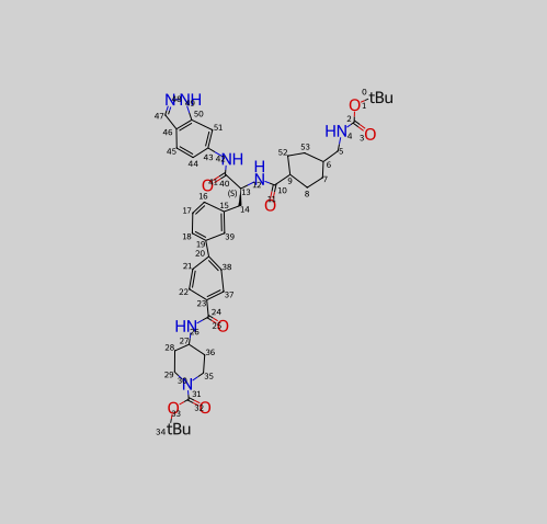 CC(C)(C)OC(=O)NCC1CCC(C(=O)N[C@@H](Cc2cccc(-c3ccc(C(=O)NC4CCN(C(=O)OC(C)(C)C)CC4)cc3)c2)C(=O)Nc2ccc3cn[nH]c3c2)CC1